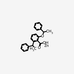 CC(Oc1cccc(C(C)c2ccccc2)c1C(=O)O)c1ccccc1.[Zn]